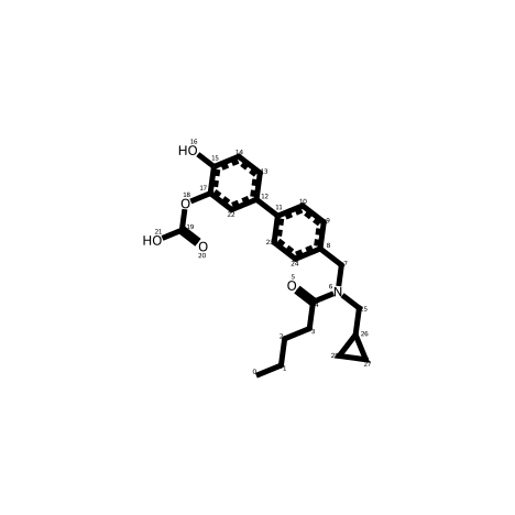 CCCCC(=O)N(Cc1ccc(-c2ccc(O)c(OC(=O)O)c2)cc1)CC1CC1